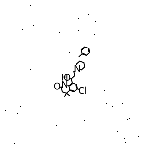 CC1(C)CC(=O)Nc2c(C(=O)CCN3CCC[C@@H](Cc4ccccc4)C3)cc(Cl)cc21